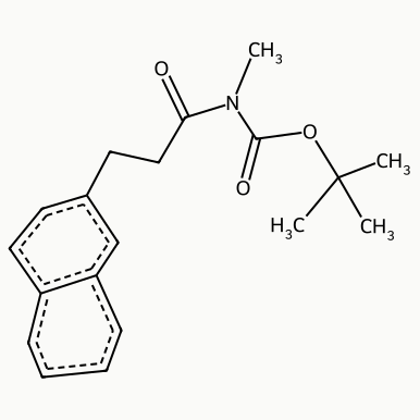 CN(C(=O)CCc1ccc2ccccc2c1)C(=O)OC(C)(C)C